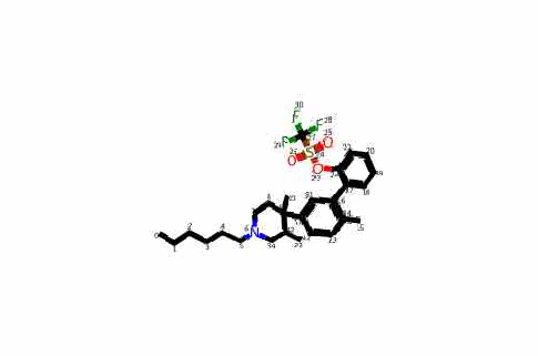 CCCCCCN1CCC(C)(c2ccc(C)c(-c3ccccc3OS(=O)(=O)C(F)(F)F)c2)C(C)C1